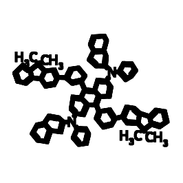 CC1(C)c2ccccc2-c2ccc(-c3cccc(-c4c5ccc(N(c6ccccc6)c6ccc7c(c6)CCC=C7)cc5c(C5=CC(C6=CC7C(C=C6)c6ccccc6C7(C)C)=CCC5)c5ccc(N(c6ccccc6)c6ccc7ccccc7c6)cc45)c3)cc21